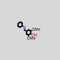 COc1cc(/C=N/c2ccccc2)cc(OC)c1O